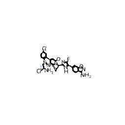 N/C(Cl)=C\N(N)c1ccc(Cl)cc1-c1cc2n(c(=O)c1)C(c1nc(F)c(-c3ccc4c(N)noc4c3)[nH]1)C1CC21